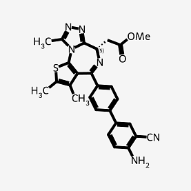 COC(=O)C[C@@H]1N=C(c2ccc(-c3ccc(N)c(C#N)c3)cc2)c2c(sc(C)c2C)-n2c(C)nnc21